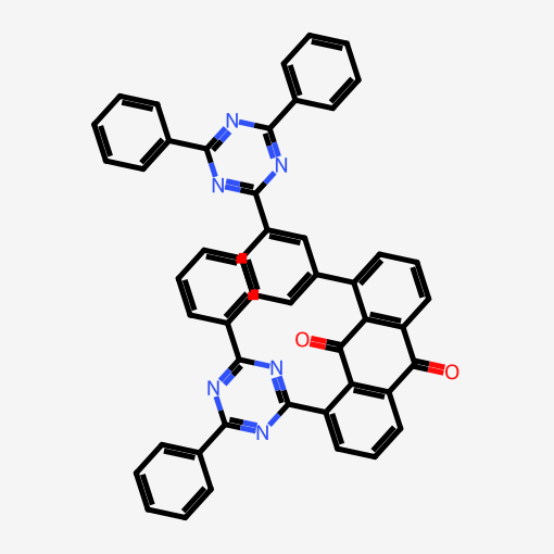 O=C1c2cccc(-c3cccc(-c4nc(-c5ccccc5)nc(-c5ccccc5)n4)c3)c2C(=O)c2c1cccc2-c1nc(-c2ccccc2)nc(-c2ccccc2)n1